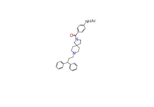 CC(=O)Nc1ccc(C(=O)N2CCC3(CCN(CCC(c4ccccc4)c4ccccc4)CC3)C2)cc1